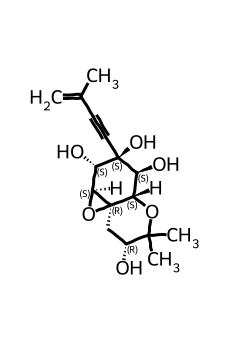 C=C(C)C#C[C@]1(O)[C@@H](O)[C@@H]2OC(C)(C)[C@H](O)C[C@@]23O[C@H]3[C@@H]1O